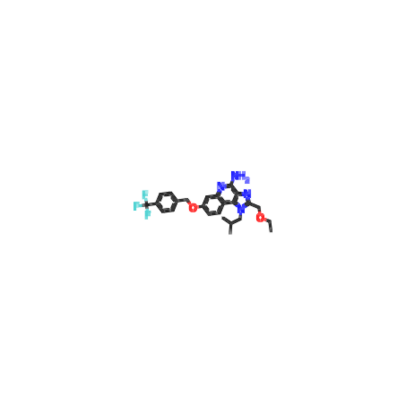 CCOCc1nc2c(N)nc3cc(OCc4ccc(C(F)(F)F)cc4)ccc3c2n1CC(C)C